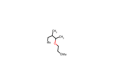 CCC(C)[CH]C(C)C(C)OCCOC